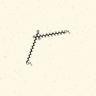 CCCCCCCCC=CCCCCCCCC(=O)C(CC=O)C(=O)CCCCCCCC=CCCCCCCCC